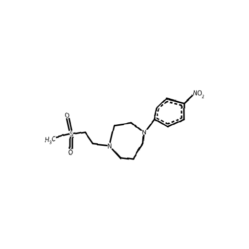 CS(=O)(=O)CCN1CCCN(c2ccc([N+](=O)[O-])cc2)CC1